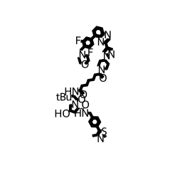 Cc1ncsc1-c1ccc(CNC(=O)[C@@H]2C[C@@H](O)CN2C(=O)C(NC(=O)CCCCCC(=O)N2CCC(n3cc(-c4cnc5cccc(-c6cc(F)c(CN7CCOCC7)c(F)c6)c5n4)cn3)CC2)C(C)(C)C)cc1